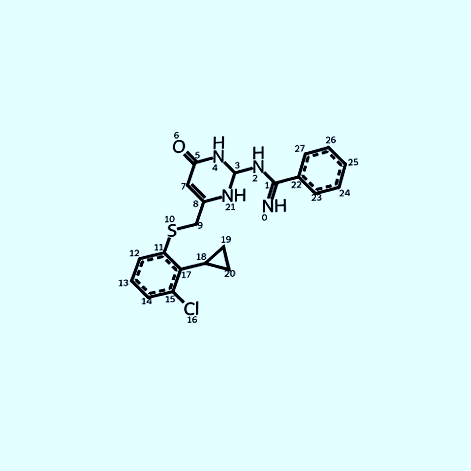 N=C(NC1NC(=O)C=C(CSc2cccc(Cl)c2C2CC2)N1)c1ccccc1